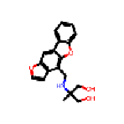 CC(CO)(CO)NCc1c2ccoc2cc2c1oc1ccccc12